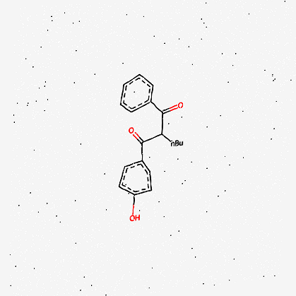 CCCCC(C(=O)c1ccccc1)C(=O)c1ccc(O)cc1